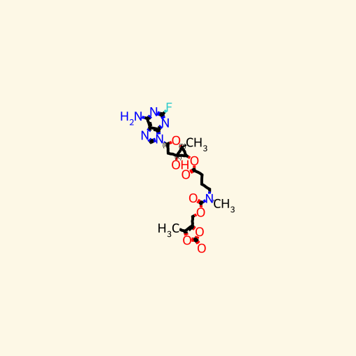 Cc1oc(=O)oc1COC(=O)N(C)CCCC(=O)OC1[C@]2(O)C[C@H](n3cnc4c(N)nc(F)nc43)O[C@]12C